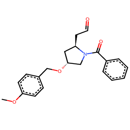 COc1ccc(CO[C@@H]2C[C@@H](CC=O)N(C(=O)c3ccccc3)C2)cc1